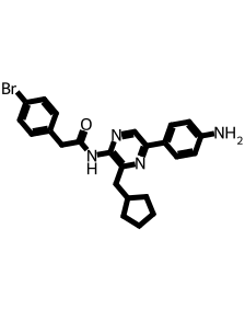 Nc1ccc(-c2cnc(NC(=O)Cc3ccc(Br)cc3)c(CC3CCCC3)n2)cc1